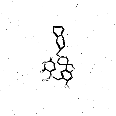 Cc1cc2c(cc1CN(C=O)C1CCC(=O)NC1=O)C1(CCN(Cc3ccc4ccccc4c3)CC1)CO2